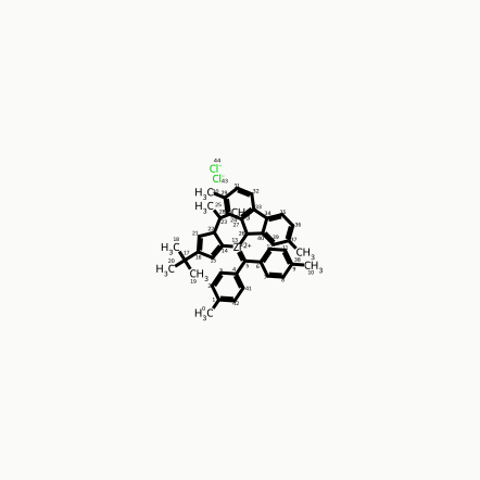 Cc1ccc([C](c2ccc(C)cc2)=[Zr+2]([C]2=CC(C(C)(C)C)=CC2C(C)C)[CH]2c3cc(C)ccc3-c3ccc(C)cc32)cc1.[Cl-].[Cl-]